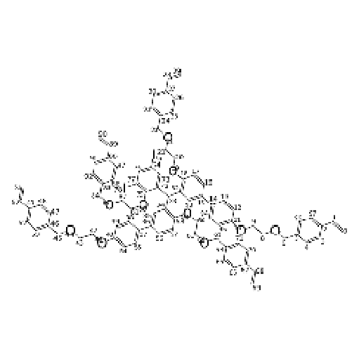 C=Cc1ccc(COCCOc2ccc(-c3ccc(OCCOCc4ccc(C=C)cc4)c(C(c4cc(-c5ccc(OCCOCc6ccc(C=C)cc6)cc5)ccc4OCCOCc4ccc(C=C)cc4)c4cc(I)cc(I)c4OCCOCc4ccc(C=C)cc4)c3)cc2)cc1